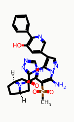 CS(=O)(=O)c1c(C2C[C@H]3CC[C@@H](C2)N3C(=O)c2nnc[nH]2)nc2c(-c3cnc(-c4ccccc4)c(O)c3)cnn2c1N